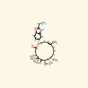 CCC[C@H]1C(=O)C(C)(C)[C@@H](O)CC(=O)O[C@H](c2ccc3oc(CN)nc3c2)C/C=C(/C)CCC[C@H](C)[C@@H]1O